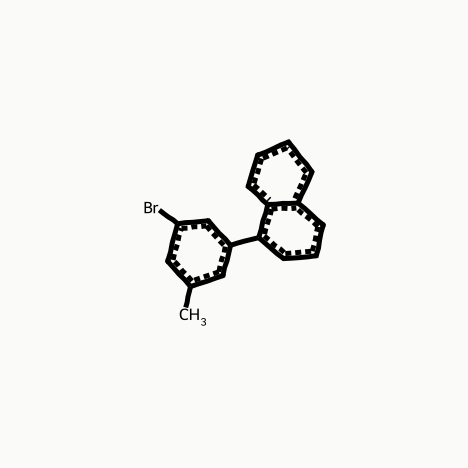 Cc1cc(Br)cc(-c2cccc3ccccc23)c1